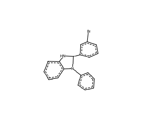 Brc1cccc(C2Nc3ccccc3N2c2ccccc2)c1